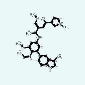 C=N/C=C(\C=C(/C)c1cnn(C)c1)C(C)Nc1cc(N=C)c(/N=C\C)c(-c2ccc3occ(C)c3c2)c1